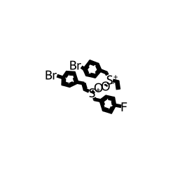 C=C[S+]([O-])Cc1ccc(Br)cc1.[O-][S+](C=Cc1ccc(Br)cc1)Cc1ccc(F)cc1